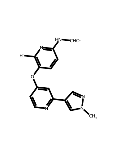 CCc1nc(N[C]=O)ccc1Oc1ccnc(-c2cnn(C)c2)c1